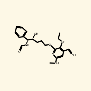 CCNc1c(C=N)cc(NC)nc1OCCC[C@H](O)[C@@H](NC=O)c1ccccc1